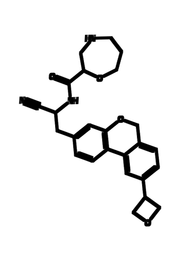 N#CC(Cc1ccc2c(c1)OCc1ccc(C3COC3)cc1-2)NC(=O)C1CNCCCO1